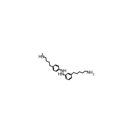 CNCCCCc1ccc(NNc2cccc(CCCCCN)c2)cc1